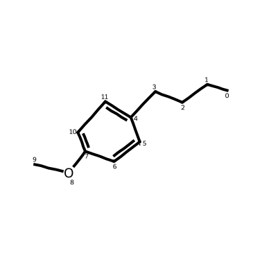 CCCCc1[c]cc(OC)cc1